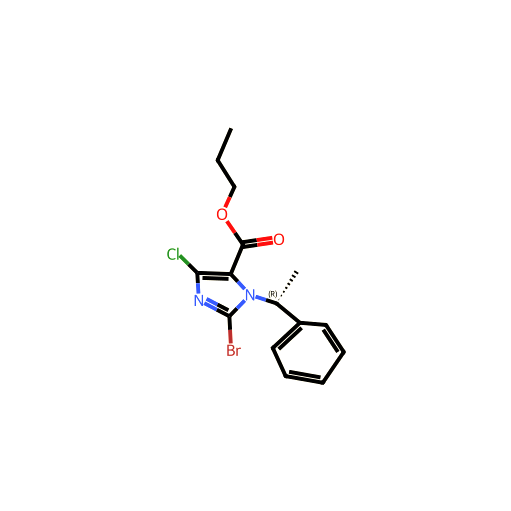 CCCOC(=O)c1c(Cl)nc(Br)n1[C@H](C)c1ccccc1